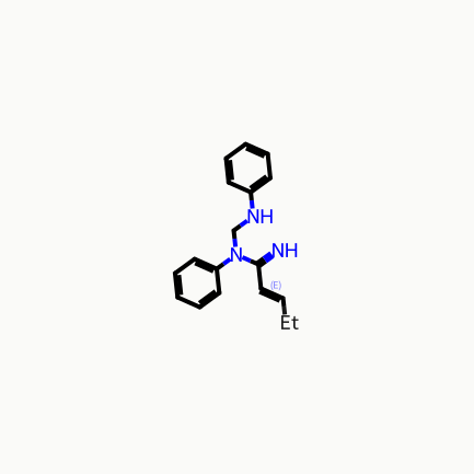 CC/C=C/C(=N)N(CNc1ccccc1)c1ccccc1